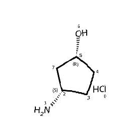 Cl.N[C@H]1CC[C@@H](O)C1